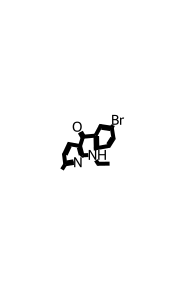 CCNc1nc(C)ccc1C(=O)c1cccc(Br)c1